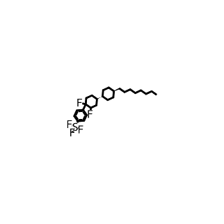 CCCCCCCC[C@H]1CC[C@H](C2CCC(F)(c3ccc(S(F)(F)F)cc3)C(F)C2)CC1